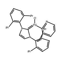 CC(C)c1cccc(C(C)C)c1-n1ccn(-c2c(C(C)C)cccc2C(C)C)[c]1=[Pd]([Cl])[c]1ncccc1Cl